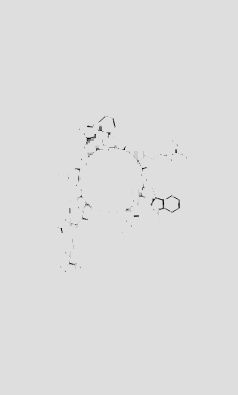 CC(=O)N[C@@H](CCCNC(=N)N)C(=O)N[C@H]1CSSC[C@@H](C(N)=O)NC(=O)[C@H](Cc2c[nH]c3ccccc23)NC(=O)[C@H](CCCNC(=N)N)NC(=O)[C@@H](CC2(C)C=CC=CC2)NC(=O)[C@H](Cc2c[nH]cn2)NC(=O)[C@@H](C(C)C)NC1=O